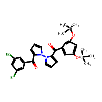 C[Si](C)(C)Oc1cc(O[Si](C)(C)C)cc(C(=O)c2cccn2-n2cccc2C(=O)c2cc(Br)cc(Br)c2)c1